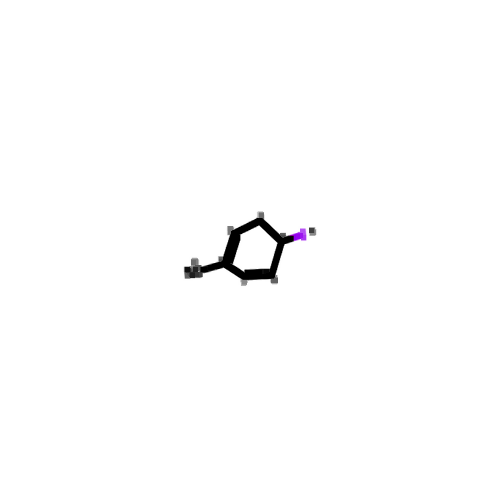 N#CC1=CCC(I)C=C1